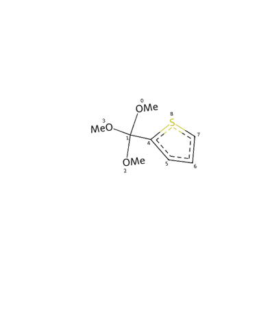 COC(OC)(OC)c1cccs1